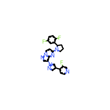 Fc1ccc(F)c(C2CCCN2c2ccn3ncc(-n4cc(-c5ccncc5F)cn4)c3n2)c1